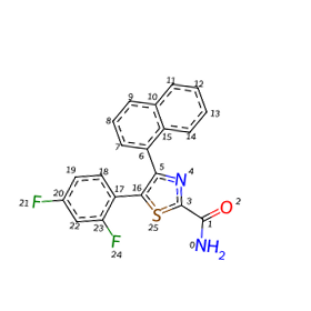 NC(=O)c1nc(-c2cccc3ccccc23)c(-c2ccc(F)cc2F)s1